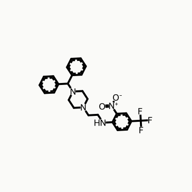 O=[N+]([O-])c1cc(C(F)(F)F)ccc1NCCN1CCN(C(c2ccccc2)c2ccccc2)CC1